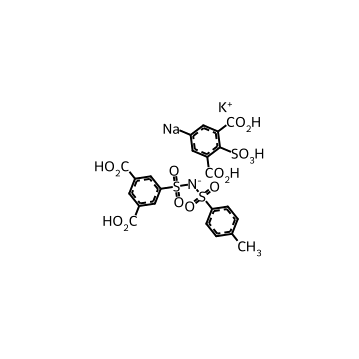 Cc1ccc(S(=O)(=O)[N-]S(=O)(=O)c2cc(C(=O)O)cc(C(=O)O)c2)cc1.O=C(O)c1c[c]([Na])cc(C(=O)O)c1S(=O)(=O)O.[K+]